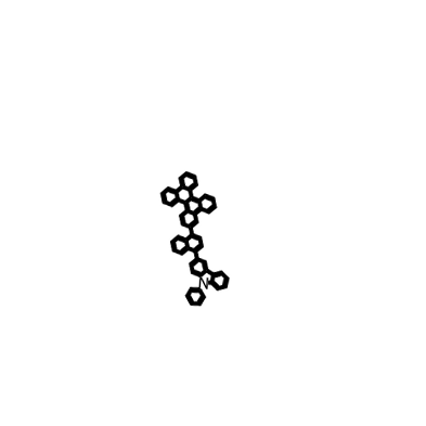 c1ccc(-n2c3ccccc3c3cc(-c4ccc(-c5ccc6c(c5)c5ccccc5c5c7ccccc7c7ccccc7c65)c5ccccc45)ccc32)cc1